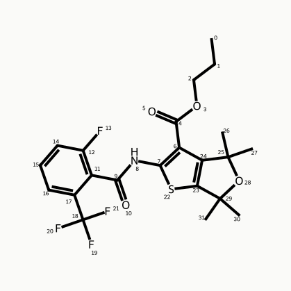 CCCOC(=O)c1c(NC(=O)c2c(F)cccc2C(F)(F)F)sc2c1C(C)(C)OC2(C)C